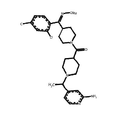 CON=C(c1ccc(Cl)cc1Cl)C1CCN(C(=O)C2CCN(C(C)c3ccnc(N)c3)CC2)CC1